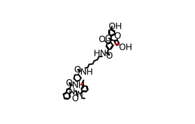 CCc1cccc(N(CC)C(=O)Cn2c(C(=O)N[C@H]3CC[C@H](C(=O)NCCCCCCCCNC(=O)c4ccc5c(c4)C(=O)OC54c5ccc(O)cc5Oc5cc(O)ccc54)CC3)cc3ccccc32)c1